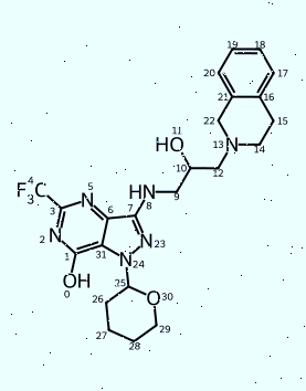 Oc1nc(C(F)(F)F)nc2c(NCC(O)CN3CCc4ccccc4C3)nn(C3CCCCO3)c12